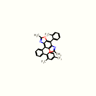 Cc1nc2c(-c3ccccc3C(F)(F)F)c3oc(C)nc3c(-c3ccccc3-c3ccc(C(F)(F)F)cc3C(F)(F)F)c2o1